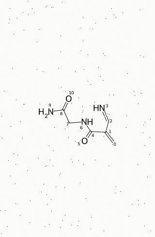 C=C(C=N)C(=O)NCC(N)=O